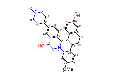 COC1=CC(N(CCO)Cc2ccc(C3CCN(C)CC3)cc2)C([C@@H]2CCc3cc(O)ccc3C2)C=C1